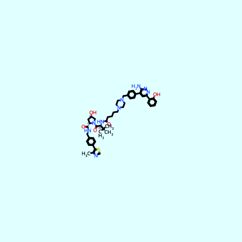 Cc1ncsc1-c1ccc(CNC(=O)[C@@H]2C[C@@H](O)CN2C(=O)[C@@H](NC(=O)CCCCN2CCN(Cc3ccc(-c4cc(-c5ccccc5O)nnc4N)cc3)CC2)C(C)(C)C)cc1